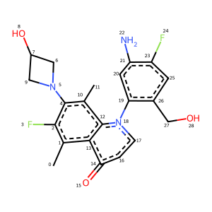 Cc1c(F)c(N2CC(O)C2)c(C)c2c1c(=O)ccn2-c1cc(N)c(F)cc1CO